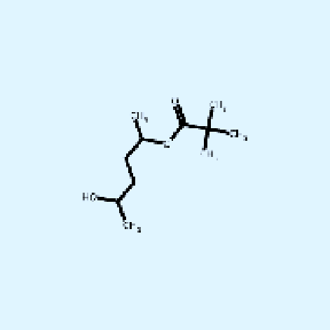 CC(O)CCC(C)OC(=O)C(C)(C)C